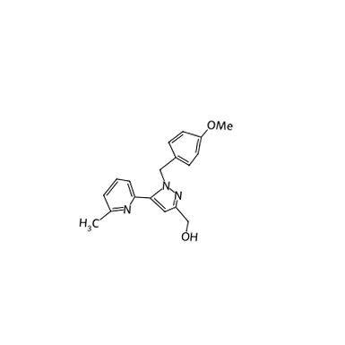 COc1ccc(Cn2nc(CO)cc2-c2cccc(C)n2)cc1